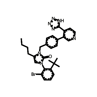 CCCCc1cn(-c2c(Br)cccc2C(C)(C)C)c(=O)n1Cc1ccc(-c2cnccc2-c2nnn[nH]2)cc1